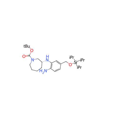 CC(C)[Si](OCc1ccc(N)c(N[C@@H]2CCCCN(C(=O)OC(C)(C)C)C2)c1)(C(C)C)C(C)C